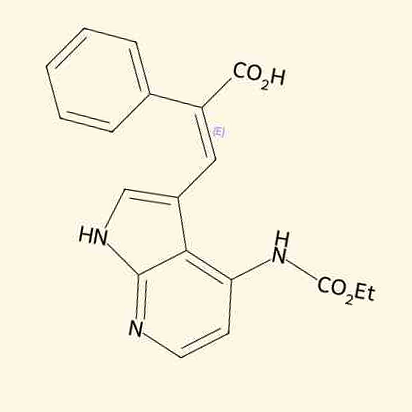 CCOC(=O)Nc1ccnc2[nH]cc(/C=C(/C(=O)O)c3ccccc3)c12